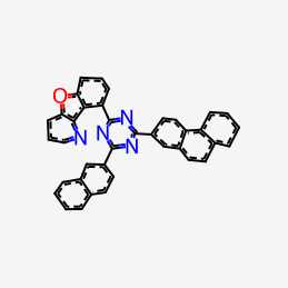 c1ccc2cc(-c3nc(-c4ccc5c(ccc6ccccc65)c4)nc(-c4cccc5oc6cccnc6c45)n3)ccc2c1